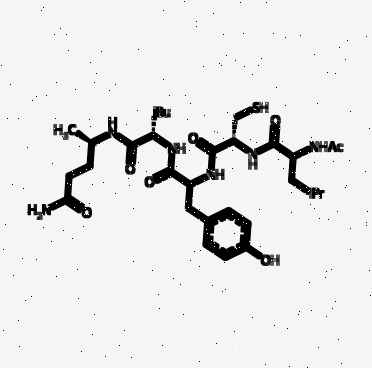 CCC(C)[C@H](NC(=O)C(Cc1ccc(O)cc1)NC(=O)[C@H](CS)NC(=O)C(CC(C)C)NC(C)=O)C(=O)N[C@H](C)CCC(N)=O